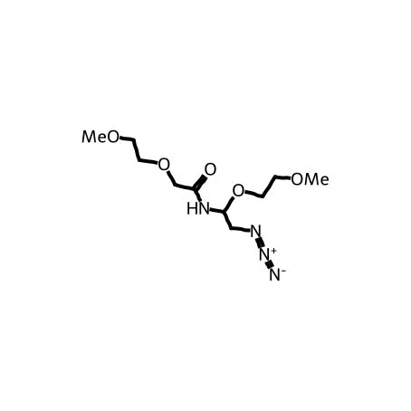 COCCOCC(=O)NC(CN=[N+]=[N-])OCCOC